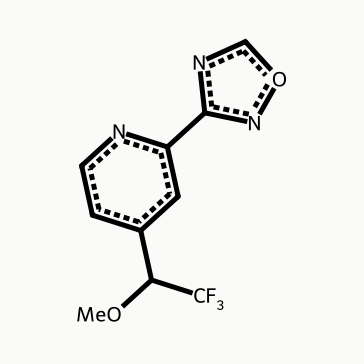 COC(c1ccnc(-c2ncon2)c1)C(F)(F)F